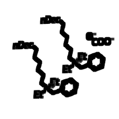 CCCCCCCCCCCCCCCC[N+](CC)(CC)Cc1ccccc1.CCCCCCCCCCCCCCCC[N+](CC)(CC)Cc1ccccc1.O=C([O-])[O-]